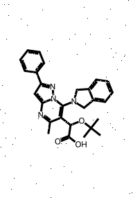 Cc1nc2cc(-c3ccccc3)nn2c(N2Cc3ccccc3C2)c1C(OC(C)(C)C)C(=O)O